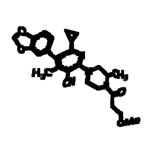 COCCC(=O)N1CCN(c2nc(C3CC3)c(-c3ccc4c(c3)OCO4)c(C)c2C#N)CC1C